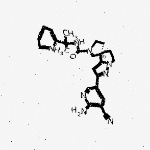 CC(C)(NC(=O)N1CC[C@@]2(CCn3nc(-c4cnc(N)c(C#N)c4)cc32)C1)c1ccccn1